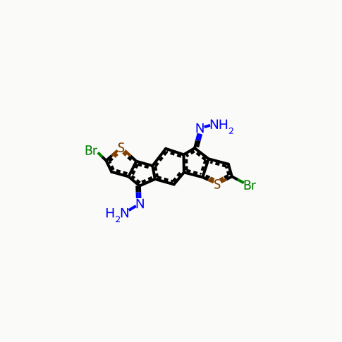 N/N=c1/c2cc3c(cc2c2sc(Br)cc12)/c(=N/N)c1cc(Br)sc13